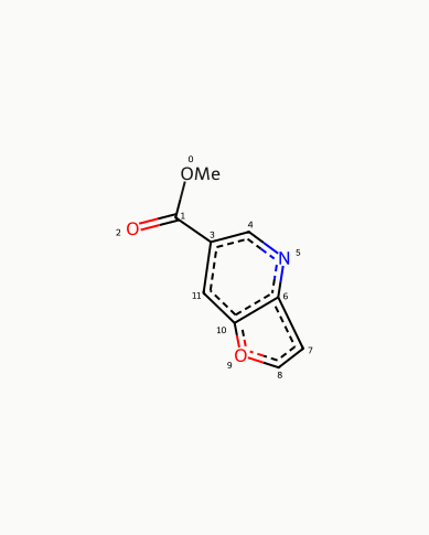 COC(=O)c1cnc2ccoc2c1